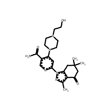 Cc1nn(-c2cc(N3CCN(CCO)CC3)c(C(N)=O)cn2)c2c1C(=O)CC(C)(C)C2